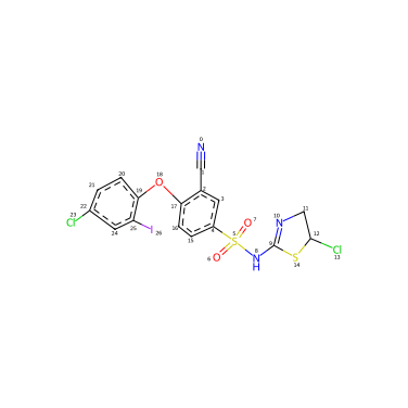 N#Cc1cc(S(=O)(=O)NC2=NCC(Cl)S2)ccc1Oc1ccc(Cl)cc1I